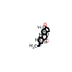 C/C=C1\CC[C@@]2(C)[C@H](C1)C(=O)C[C@@H]1[C@@H]2CC[C@]2(C)C(=O)CC[C@@H]12